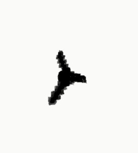 CCCCCCCCOC(=O)c1ccccc1C(=O)OCCCCCCCC.O.[Zn]